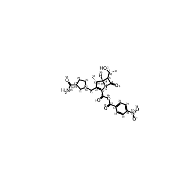 C[C@@H](O)C1C(=O)N2C(C(=O)OC(=O)c3ccc([N+](=O)[O-])cc3)=C(CN3CC[C@H](C(N)=O)C3)[C@H](C)[C@H]12